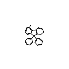 Ic1cccc2c1C1=C(CCC=C1)C2(c1ccccc1)c1ccccc1